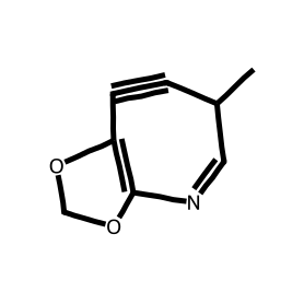 CC1C#CC2=C(N=C1)OCO2